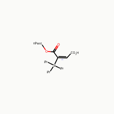 CCCCCOC(=O)/C(=C\C(=O)O)[Si](C(C)C)(C(C)C)C(C)C